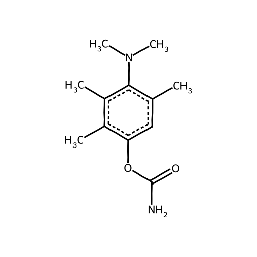 Cc1cc(OC(N)=O)c(C)c(C)c1N(C)C